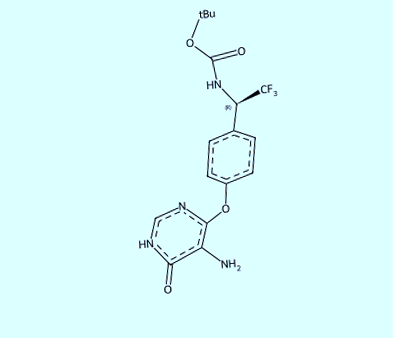 CC(C)(C)OC(=O)N[C@H](c1ccc(Oc2nc[nH]c(=O)c2N)cc1)C(F)(F)F